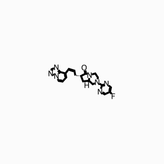 O=C1[C@@H](C/C=C\c2cccn3ncnc23)C[C@H]2CN(c3ncc(F)cn3)CCN12